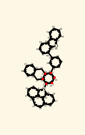 c1cc(-c2ccc(-n3c4cccc5ccc6cccc3c6c54)c3c2C2c4ccccc4C3c3ccccc32)cc(-c2cccc3c2oc2ccccc23)c1